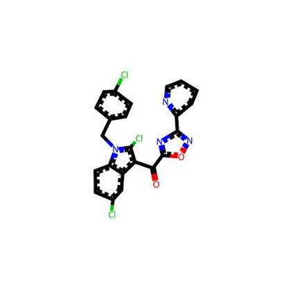 O=C(c1nc(-c2ccccn2)no1)c1c(Cl)n(Cc2ccc(Cl)cc2)c2ccc(Cl)cc12